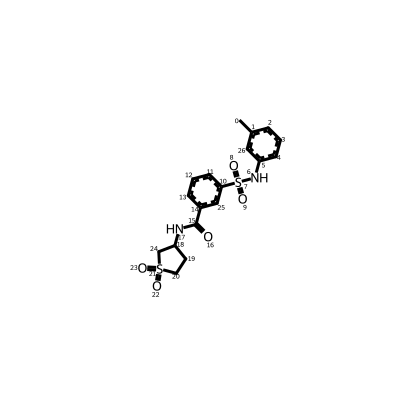 Cc1cccc(NS(=O)(=O)c2cccc(C(=O)NC3CCS(=O)(=O)C3)c2)c1